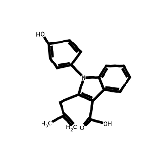 C=C(C)Cc1c(C(=O)O)c2ccccc2n1-c1ccc(O)cc1